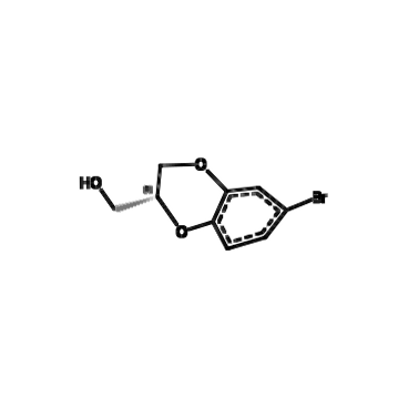 OC[C@@H]1COc2cc(Br)ccc2O1